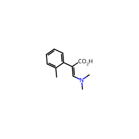 Cc1ccccc1C(=CN(C)C)C(=O)O